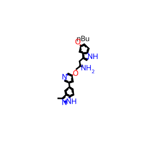 CCCCOc1ccc2[nH]cc(C[C@H](N)COc3cncc(-c4ccc5[nH]nc(C)c5c4)c3)c2c1